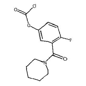 O=C(Cl)Oc1ccc(F)c(C(=O)N2CCCCC2)c1